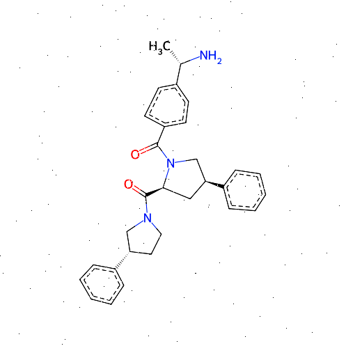 C[C@H](N)c1ccc(C(=O)N2C[C@@H](c3ccccc3)C[C@H]2C(=O)N2CC[C@H](c3ccccc3)C2)cc1